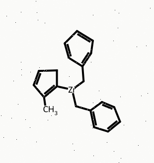 CC1=[C]([Zr]([CH2]c2ccccc2)[CH2]c2ccccc2)CC=C1